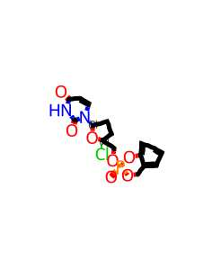 O=c1ccn([C@H]2CC[C@@](Cl)(COP3(=O)OCc4ccccc4O3)O2)c(=O)[nH]1